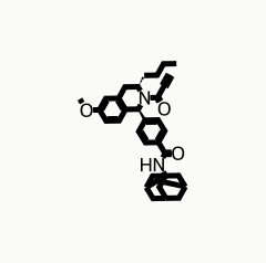 C#CC(=O)N1[C@@H](CCCC)Cc2cc(OC)ccc2[C@@H]1c1ccc(C(=O)NC23CC4CC(CC(C4)C2)C3)cc1